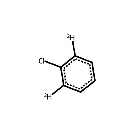 [2H]c1cccc([2H])c1Cl